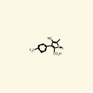 CC1=C(C#N)C(c2ccc(C(F)(F)F)cc2)=C(C(=O)O)S1=S